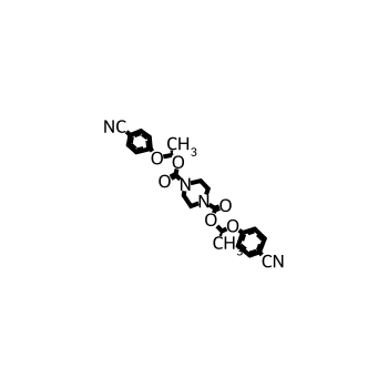 C[C@@H](OC(=O)N1CCN(C(=O)O[C@H](C)Oc2ccc(C#N)cc2)CC1)Oc1ccc(C#N)cc1